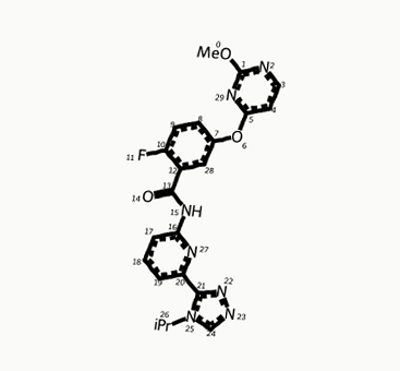 COc1nccc(Oc2ccc(F)c(C(=O)Nc3cccc(-c4nncn4C(C)C)n3)c2)n1